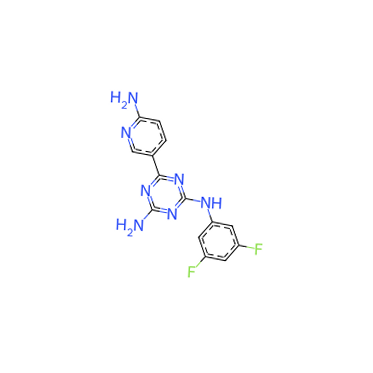 Nc1ccc(-c2nc(N)nc(Nc3cc(F)cc(F)c3)n2)cn1